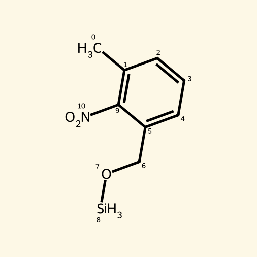 Cc1cccc(CO[SiH3])c1[N+](=O)[O-]